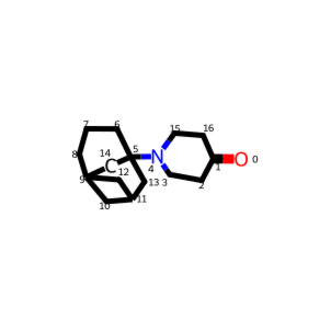 O=C1CCN(C23CCCC4(CC(C4)C2)C3)CC1